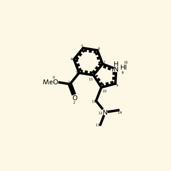 COC(=O)c1cccc2[nH]cc(CN(C)C)c12.I